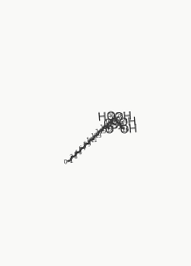 CCCCCCCCCCCCCCCCCC(=O)OC1O[C@H]([C@H](O)CO)[C@H](O)[C@H]1O